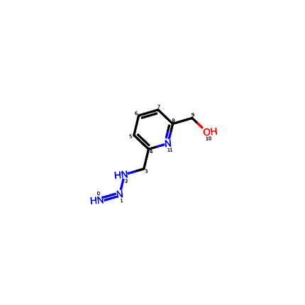 N=NNCc1cccc(CO)n1